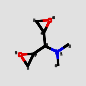 CN(C)C(C1CO1)C1CO1